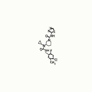 Cc1cc(CNC(=O)N(C2CC2)[C@@H]2CCCN(C(=O)Nc3nncs3)C2)c(F)cc1Cl